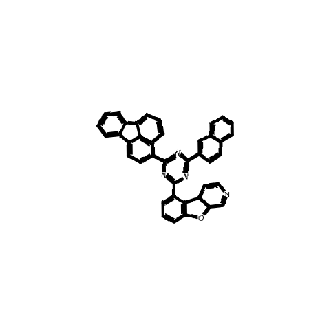 C1=CC2c3c(cccc3-c3nc(-c4ccc5ccccc5c4)nc(-c4ccc5c6c(cccc46)-c4ccccc4-5)n3)OC2C=N1